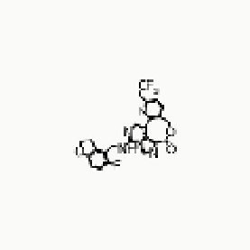 O=C1OCc2ccc(CC(F)(F)F)nc2-c2cnc(NCc3c(F)ccc4c3CCO4)n3cnc1c23